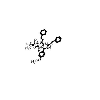 COc1ccc(C(NC(=O)OCc2ccccc2)N(C[C@@H](O)CCc2ccccc2)NC(=O)OC(C)(C)C)cc1